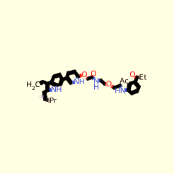 C=Cc1c(/C=C\C(C)C)[nH]c2cc(C3=CNC(OCC(=O)NCCOCCNc4cccc(C(=O)CC)c4C(C)=O)C=C3)ccc12